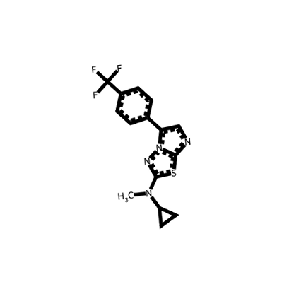 CN(c1nn2c(-c3ccc(C(F)(F)F)cc3)cnc2s1)C1CC1